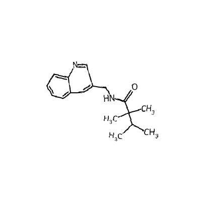 CC(C)C(C)(C)C(=O)NCc1cnc2ccccc2c1